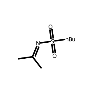 CCCCS(=O)(=O)N=C(C)C